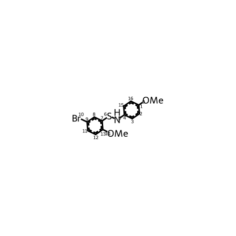 COc1ccc(NSc2cc(Br)ccc2OC)cc1